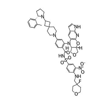 Cc1ccccc1[C@@H]1CCCN1C1CC2(CCN(c3ccc(C(=O)NS(=O)(=O)c4ccc(NCC5(F)CCOCC5)c([N+](=O)[O-])c4)c(N4c5cc6cc[nH]c6nc5O[C@@H]5COC[C@H]54)c3)CC2)C1